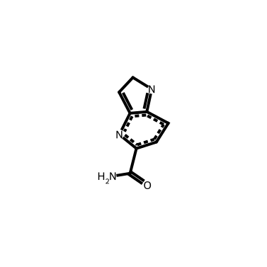 NC(=O)c1ccc2c(n1)=CCN=2